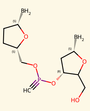 B[C@H]1C[C@@H](OP(#C)OC[C@@H]2CC[C@H](B)O2)C(CO)O1